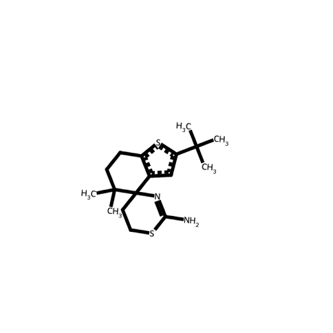 CC(C)(C)c1cc2c(s1)CCC(C)(C)C21CCSC(N)=N1